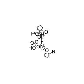 N#Cc1ccccc1OC1CCN(CCCCN2C(=O)c3ccccc3S2(O)O)C1.O=C(O)C(=O)O